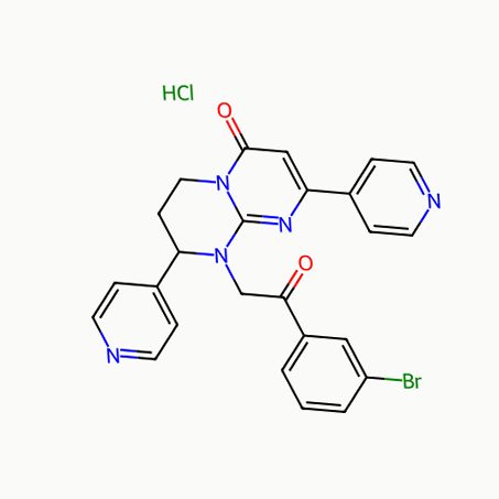 Cl.O=C(CN1c2nc(-c3ccncc3)cc(=O)n2CCC1c1ccncc1)c1cccc(Br)c1